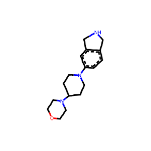 c1cc2c(cc1N1CCC(N3CCOCC3)CC1)CNC2